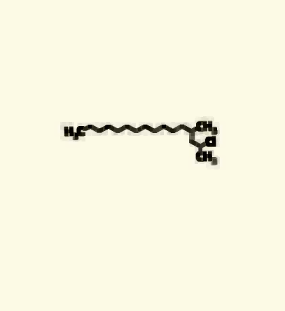 CCCCCCCCCCCCC(C)=CC(C)Cl